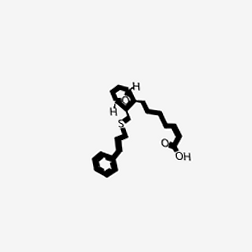 O=C(O)/C=C\CCCC[C@H]1[C@@H](CSCC=Cc2ccccc2)[C@H]2CC[C@@H]1O2